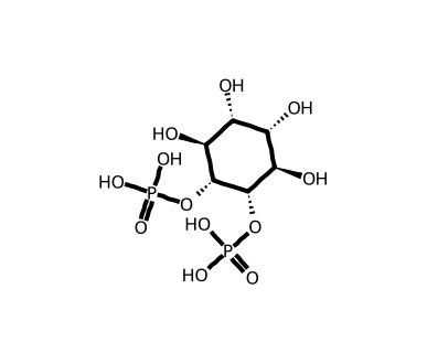 O=P(O)(O)O[C@@H]1[C@@H](O)[C@H](O)[C@H](O)[C@@H](O)[C@@H]1OP(=O)(O)O